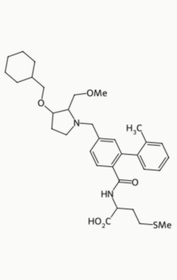 COCC1C(OCC2CCCCC2)CCN1Cc1ccc(C(=O)NC(CCSC)C(=O)O)c(-c2ccccc2C)c1